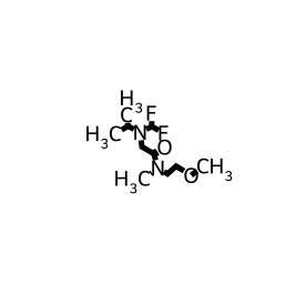 COCCN(C)C(=O)CN(C(C)C)C(F)F